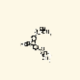 CN(C)CC(=O)c1ccc2sc3ccc(C(=O)CN(C)C)cc3c2c1.Cl.Cl